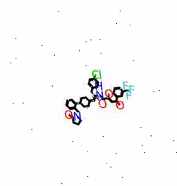 O=C(N[C@@H](C=C1CCC(c2ccccc2CN2CCCC2=O)CC1)Cc1ccc(Cl)cc1)c1cc(=O)c2cc(C(F)(F)F)ccc2o1